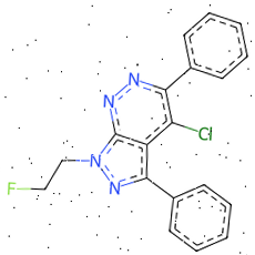 FCCn1nc(-c2ccccc2)c2c(Cl)c(-c3ccccc3)nnc21